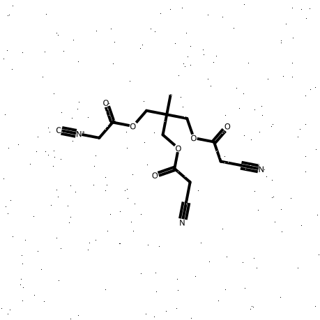 [C-]#[N+]CC(=O)OCC(C)(COC(=O)CC#N)COC(=O)CC#N